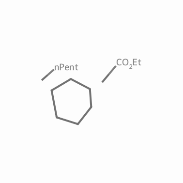 C1CCCCC1.CCCCCC.CCOC(C)=O